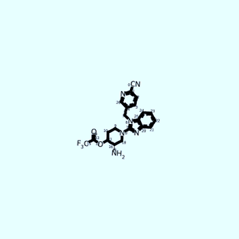 N#Cc1ccc(Cn2c(N3CCC(OC(=O)C(F)(F)F)[C@@H](N)C3)nc3ccccc32)cn1